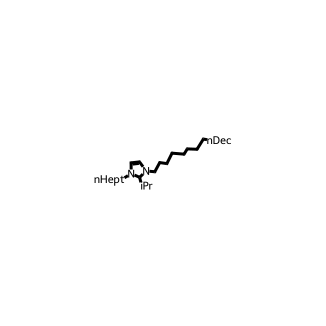 CCCCCCCCCCCCCCCCCCN1C=CN(CCCCCCC)C1C(C)C